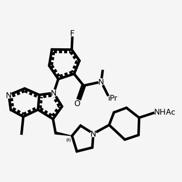 CC(=O)NC1CCC(N2CC[C@@H](Cc3cn(-c4ccc(F)cc4C(=O)N(C)C(C)C)c4cncc(C)c34)C2)CC1